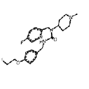 CN1CCC(N(Cc2ccc(F)cn2)C(=O)NCc2ccc(OCCF)cc2)CC1